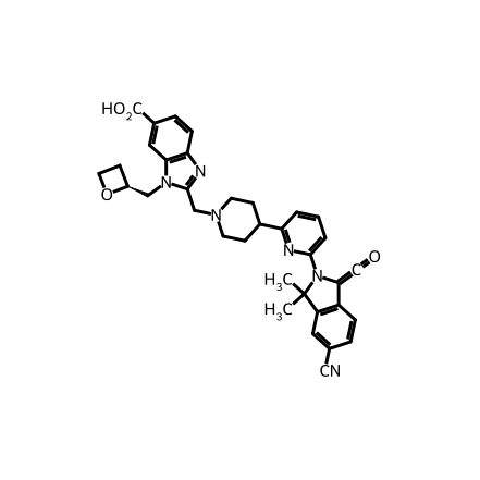 CC1(C)c2cc(C#N)ccc2C(=C=O)N1c1cccc(C2CCN(Cc3nc4ccc(C(=O)O)cc4n3C[C@@H]3CCO3)CC2)n1